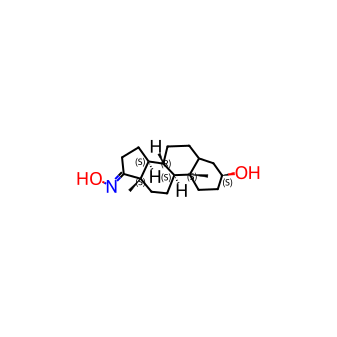 C[C@]12CC[C@H](O)CC1CC[C@@H]1[C@@H]2CC[C@]2(C)C(=NO)CC[C@@H]12